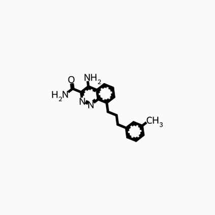 Cc1cccc(CCCc2cccc3c(N)c(C(N)=O)nnc23)c1